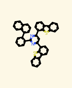 c1ccc(-c2cccc3ccccc23)c(-c2nc(-c3cccc4c3sc3ccccc34)cc(-c3cccc4c3sc3ccccc34)n2)c1